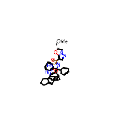 COC[C@@H]1Cn2ncc(S(=O)(=NC(c3ccccc3)(c3ccccc3)c3ccccc3)NC(=O)Nc3c4c(cc5c3[C@H](C)C5)CCC4)c2O1